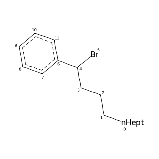 CCCCCCCCCCC(Br)c1ccccc1